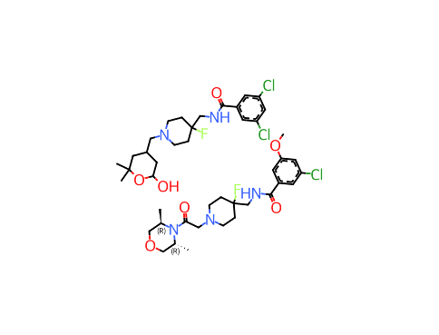 CC1(C)CC(CN2CCC(F)(CNC(=O)c3cc(Cl)cc(Cl)c3)CC2)CC(O)O1.COc1cc(Cl)cc(C(=O)NCC2(F)CCN(CC(=O)N3[C@H](C)COC[C@H]3C)CC2)c1